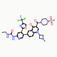 CCNC(=O)Nc1cc(-c2nc(C(F)(F)F)cs2)c(-c2ccc3c(c2)c(=O)c(C(=O)N2CCN(S(C)(=O)=O)CC2)cn3C2CN(C)C2)cn1